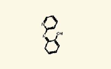 OC1=CC=CCC1=Nc1ccccn1